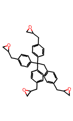 c1cc(CC(c2ccc(CC3CO3)cc2)(c2ccc(CC3CO3)cc2)c2ccc(CC3CO3)cc2)ccc1CC1CO1